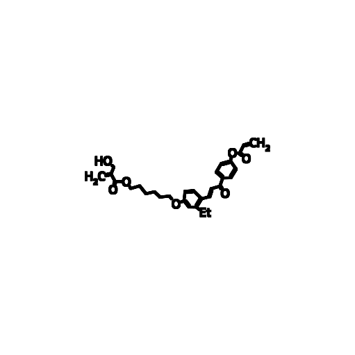 C=CC(=O)Oc1ccc(C(=O)/C=C/c2ccc(OCCCCCCOC(=O)C(=C)CO)cc2CC)cc1